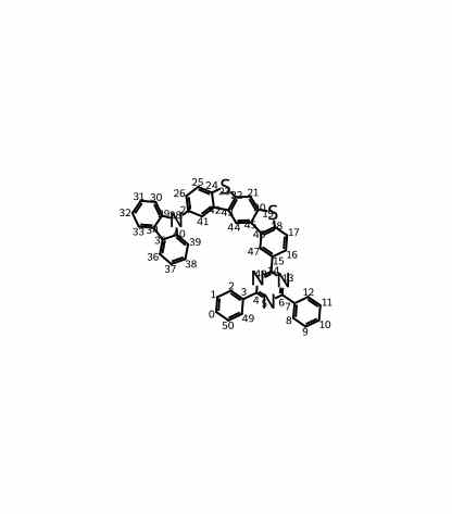 c1ccc(-c2nc(-c3ccccc3)nc(-c3ccc4sc5cc6sc7ccc(-n8c9ccccc9c9ccccc98)cc7c6cc5c4c3)n2)cc1